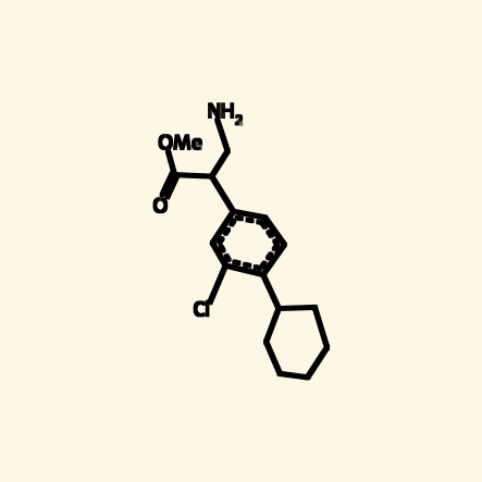 COC(=O)C(CN)c1ccc(C2CCCCC2)c(Cl)c1